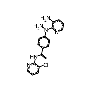 C=C(Nc1ncccc1Cl)c1ccc(N(N)c2ncccc2N)cc1